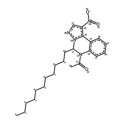 CCCCCCCCCCCC1N(C(C)=O)c2ccccc2-c2c([N+](=O)[O-])cnn21